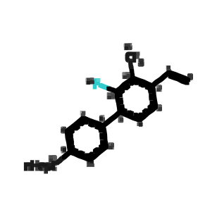 C=Cc1ccc(-c2ccc(CCCCCCC)cc2)c(F)c1C(F)(F)F